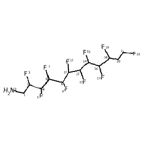 NCC(F)C(F)C(F)C(F)C(F)C(F)C(F)C(F)C(F)CCF